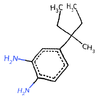 CCC(C)(CC)c1ccc(N)c(N)c1